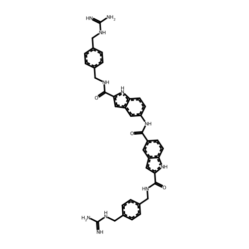 N=C(N)NCc1ccc(CNC(=O)c2cc3cc(NC(=O)c4ccc5[nH]c(C(=O)NCc6ccc(CNC(=N)N)cc6)cc5c4)ccc3[nH]2)cc1